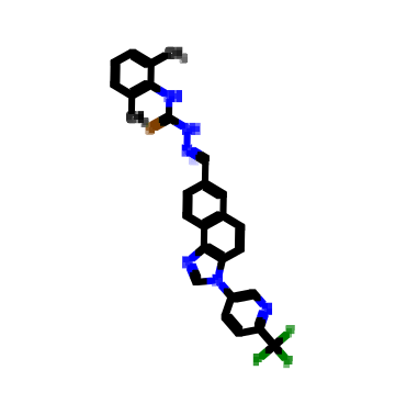 Cc1cccc(C)c1NC(=S)N/N=C/c1ccc2c(ccc3c2ncn3-c2ccc(C(F)(F)F)nc2)c1